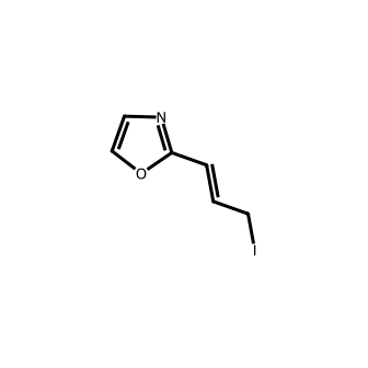 IC/C=C/c1ncco1